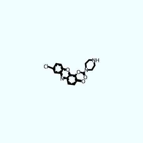 O=C(Oc1c2oc3ccc(Cl)cc3nc-2ccc1=O)N1CCNCC1